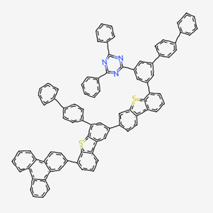 c1ccc(-c2ccc(-c3cc(-c4nc(-c5ccccc5)nc(-c5ccccc5)n4)cc(-c4cccc5c4sc4cc(-c6cc(-c7ccc(-c8ccccc8)cc7)c7sc8c(-c9ccc%10c%11ccccc%11c%11ccccc%11c%10c9)cccc8c7c6)ccc45)c3)cc2)cc1